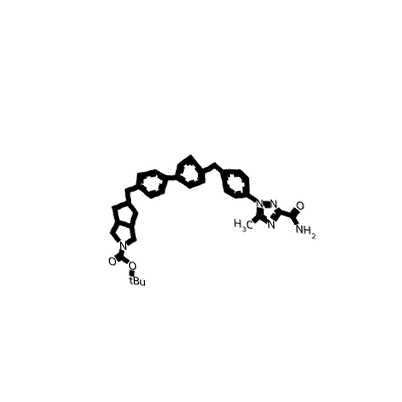 Cc1nc(C(N)=O)nn1-c1ccc(Cc2ccc(-c3ccc(CC4CC5CN(C(=O)OC(C)(C)C)CC5C4)cc3)cc2)cc1